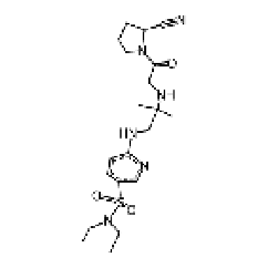 CCN(CC)S(=O)(=O)c1ccc(NCC(C)(C)NCC(=O)N2CCC[C@H]2C#N)nc1